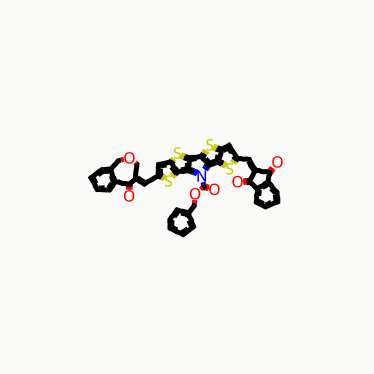 O=C1/C(=C/c2cc3sc4c5sc6cc(C=C7C(=O)c8ccccc8C7=O)sc6c5n(C(=O)OCc5ccccc5)c4c3s2)COCc2ccccc21